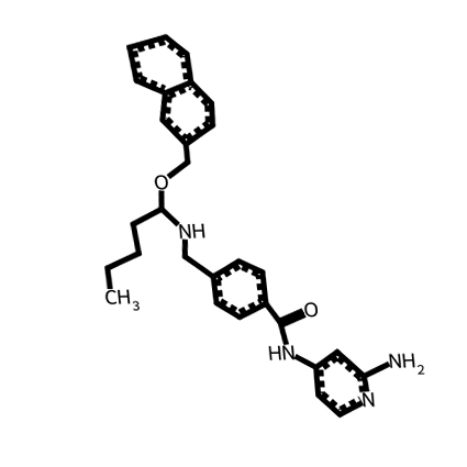 CCCCC(NCc1ccc(C(=O)Nc2ccnc(N)c2)cc1)OCc1ccc2ccccc2c1